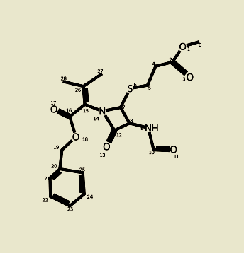 COC(=O)CCSC1C(NC=O)C(=O)N1C(C(=O)OCc1ccccc1)=C(C)C